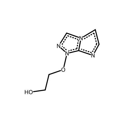 OCCOn1ncn2ccnc12